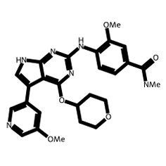 CNC(=O)c1ccc(Nc2nc(OC3CCOCC3)c3c(-c4cncc(OC)c4)c[nH]c3n2)c(OC)c1